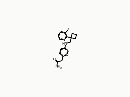 NC(=O)Cc1ccc(NCC2(c3ncccc3F)CCC2)nn1